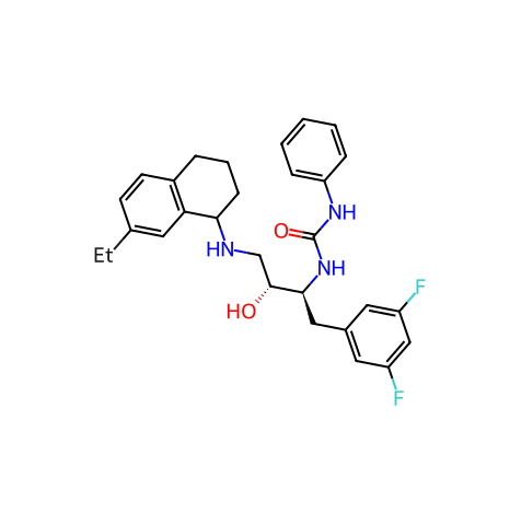 CCc1ccc2c(c1)C(NC[C@@H](O)[C@H](Cc1cc(F)cc(F)c1)NC(=O)Nc1ccccc1)CCC2